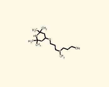 CN(CCCO)CCCOC1CC(C)(C)NC(C)(C)C1